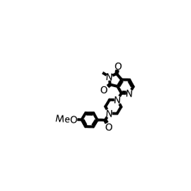 COc1ccc(C(=O)N2CCN(c3nccc4c3C(=O)N(C)C4=O)CC2)cc1